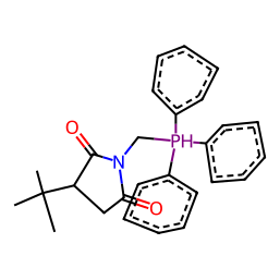 CC(C)(C)C1CC(=O)N(C[PH](c2ccccc2)(c2ccccc2)c2ccccc2)C1=O